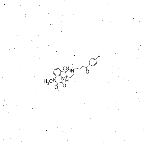 Cn1c(=O)c(=O)n2c3c(cccc31)[C@]1(C)CN(CCCC(=O)c3ccc(F)cc3)CC[C@H]21